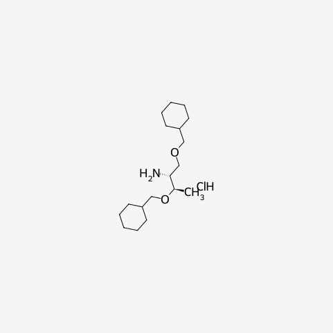 C[C@@H](OCC1CCCCC1)[C@H](N)COCC1CCCCC1.Cl